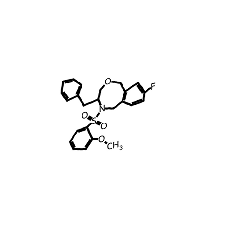 COc1ccccc1S(=O)(=O)N1Cc2ccc(F)cc2COCC1Cc1ccccc1